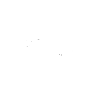 CCCCCC[C@@H](O)C/C=C\CCCCCCC(N)C(=O)O